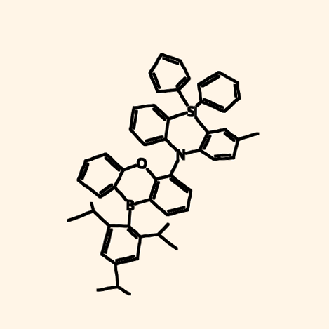 Cc1ccc2c(c1)[Si](c1ccccc1)(c1ccccc1)c1ccccc1N2c1cccc2c1Oc1ccccc1B2c1c(C(C)C)cc(C(C)C)cc1C(C)C